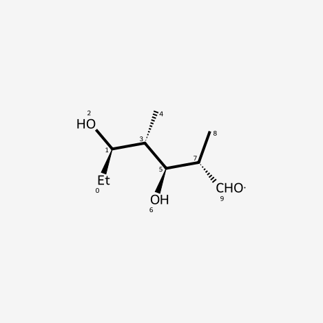 CC[C@@H](O)[C@H](C)[C@H](O)[C@H](C)[C]=O